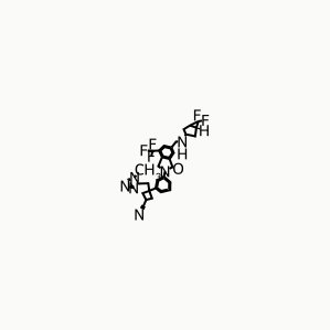 Cn1cnnc1CC1(c2cccc(N3Cc4c(cc(CNC5CC6[C@@H](C5)C6(F)F)cc4C(F)(F)F)C3=O)c2)CC(C#N)C1